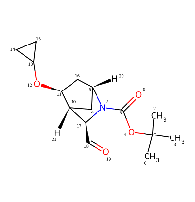 CC(C)(C)OC(=O)N1[C@@H]2C[C@@H]([C@@H](OC3CC3)C2)[C@@H]1C=O